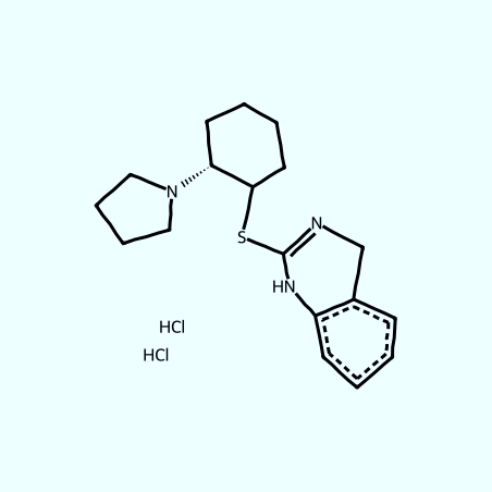 Cl.Cl.c1ccc2c(c1)CN=C(SC1CCCC[C@H]1N1CCCC1)N2